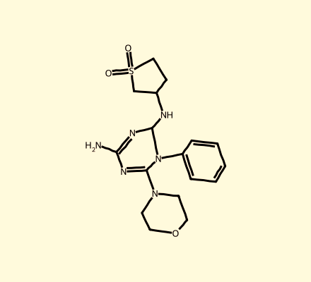 NC1=NC(NC2CCS(=O)(=O)C2)N(c2ccccc2)C(N2CCOCC2)=N1